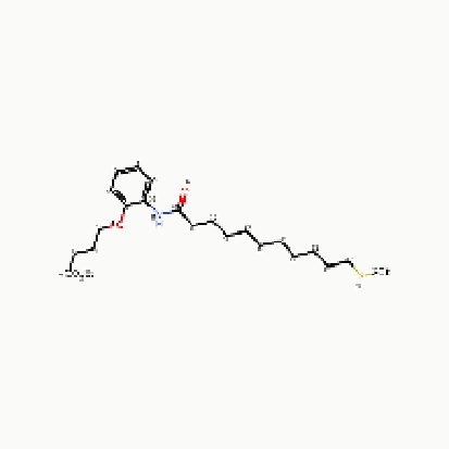 CCOC(=O)CCCOc1ccccc1NC(=O)CCCCCCCCCCSCC